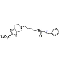 CCOC(=O)c1nc2c(s1)CN(CCCCNC(=O)/C=C/c1ccccc1)CC2